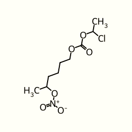 CC(Cl)OC(=O)OCCCCC(C)O[N+](=O)[O-]